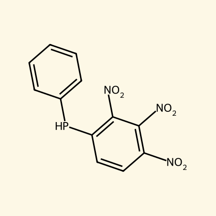 O=[N+]([O-])c1ccc(Pc2ccccc2)c([N+](=O)[O-])c1[N+](=O)[O-]